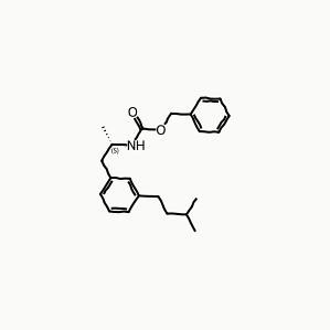 CC(C)CCc1cccc(C[C@H](C)NC(=O)OCc2ccccc2)c1